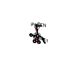 C#CCC1(CC)CC(C)(OCC2OC(OCC34CC(OP(OCCC#N)N(C(C)C)C(C)C)(C3)C4)C(OC(=O)c3ccccc3)C(OC(=O)c3ccccc3)C2OC(=O)c2ccccc2)C1